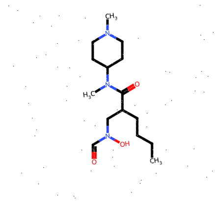 CCCCC(CN(O)C=O)C(=O)N(C)C1CCN(C)CC1